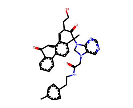 Cc1ccc(CCNC(=O)CN2CN(C3(C)C(=O)C(CCO)C=c4c3ccc3c4=CC(=O)c4ccccc4-3)c3ncncc32)cc1